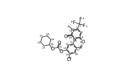 Cn1c(C(F)(F)F)cc(=O)n(-c2cc(OC(=O)OC3CCCCC3)c(Cl)cc2F)c1=O